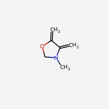 C=C1OCN(C)C1=C